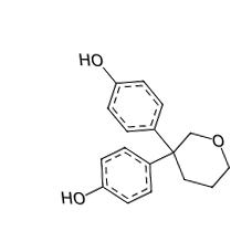 Oc1ccc(C2(c3ccc(O)cc3)CCCOC2)cc1